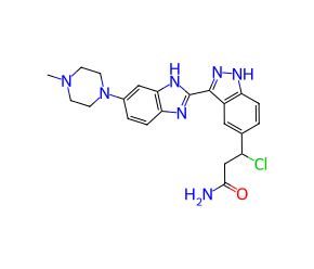 CN1CCN(c2ccc3nc(-c4n[nH]c5ccc(C(Cl)CC(N)=O)cc45)[nH]c3c2)CC1